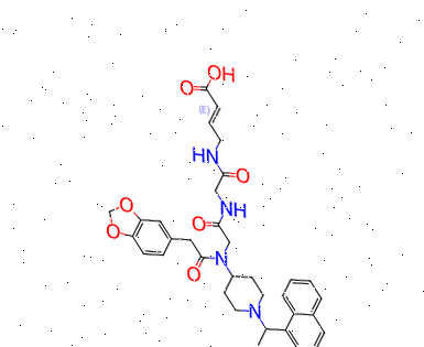 CC(c1cccc2ccccc12)N1CCC(N(CC(=O)NCC(=O)NC/C=C/C(=O)O)C(=O)Cc2ccc3c(c2)OCO3)CC1